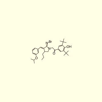 CCCC1CN(CC(=O)c2cc(C(C)(C)C)c(O)c(C(C)(C)C)c2)C(=N\Br)/C1=C/c1cccc(OC(C)C)c1